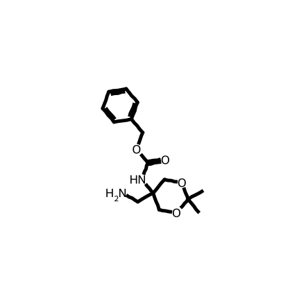 CC1(C)OCC(CN)(NC(=O)OCc2ccccc2)CO1